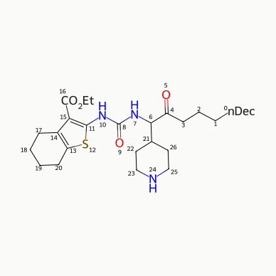 CCCCCCCCCCCCCC(=O)C(NC(=O)Nc1sc2c(c1C(=O)OCC)CCCC2)C1CCNCC1